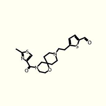 Cc1nc(C(=O)N2CCOC3(CCN(CCc4ccc(C=O)s4)CC3)C2)cs1